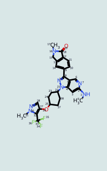 CNc1cc2c(cn1)c(-c1ccc3c(c1)CN(C)C3=O)nn2C1CCC(Oc2cnn(C)c2C(F)(F)F)CC1